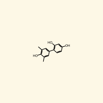 Cc1cc(-c2ccc(O)cc2O)cc(C)c1O